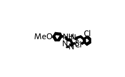 COc1ccc(Nc2ncnc3sc(Cc4c(Cl)cccc4Cl)nc23)cc1